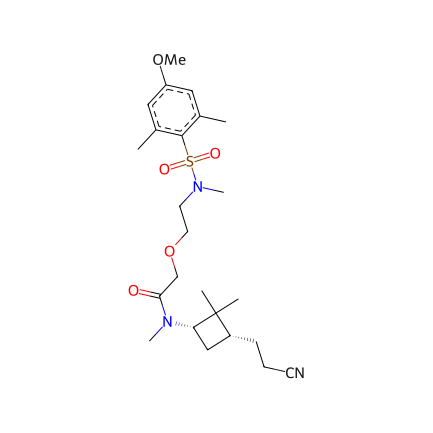 COc1cc(C)c(S(=O)(=O)N(C)CCOCC(=O)N(C)[C@H]2C[C@@H](CCC#N)C2(C)C)c(C)c1